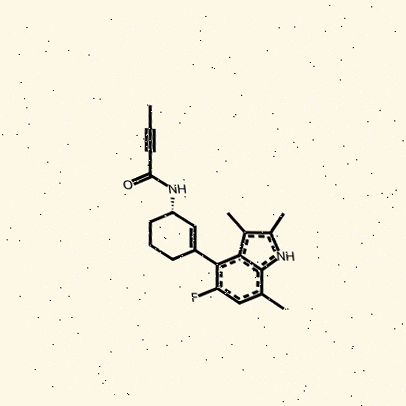 [CH2]c1cc(F)c(C2=C[C@@H](NC(=O)C#CC)CCC2)c2c(C)c(C)[nH]c12